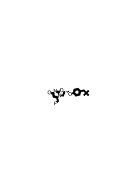 CC(C)(C)Cc1ccc(OC[C@@H]2Cn3c(CF)cc(=O)nc3O2)cc1